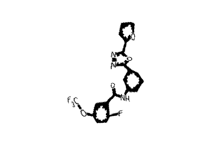 O=C(Nc1cccc(-c2nnc(-c3ccco3)o2)c1)c1cc(OC(F)(F)F)ccc1F